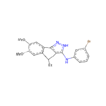 CCC1c2cc(OC)c(OC)cc2-c2n[nH]c(Nc3cccc(Br)c3)c21